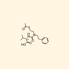 CC(=O)SCCN(CCc1ccccc1)C(=O)N[C@H](C(=O)O)C(C)C